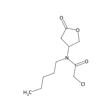 CCCCCN(C(=O)CCl)C1COC(=O)C1